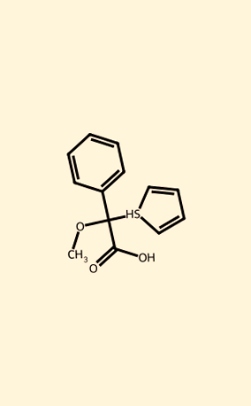 COC(C(=O)O)(c1ccccc1)[SH]1C=CC=C1